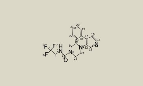 O=C(NCC(F)(F)F)N1CCN(c2cnccc2-c2ccccc2)CC1